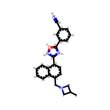 CC1CN(Cc2ccc(-c3noc(-c4cccc(C#N)c4)n3)c3ccccc23)C1